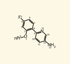 CCCOc1cc(F)ccc1-c1ccc(N)cn1